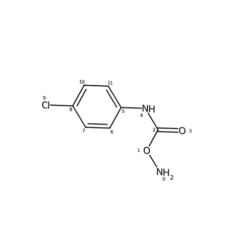 NOC(=O)Nc1ccc(Cl)cc1